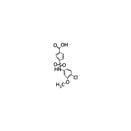 COc1cc(NS(=O)(=O)c2ccc(C(=O)O)cc2)ccc1Cl